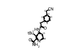 CC(C)(C)c1c(NC(=O)Cc2cccc(CC#N)c2)ccnc1C(N)=O